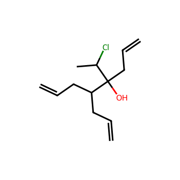 C=CCC(CC=C)C(O)(CC=C)C(C)Cl